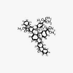 CC(C)(C)c1ccc(Nc2cc3c(cc2-c2ccc4c5cc6oc7ccccc7c6cc5n5c4c2Bc2cc(C(C)(C)C)ccc2-5)C(C)(C)c2ccccc2-3)cc1